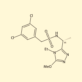 CCn1c(OC)nnc1[C@@H](C)NS(=O)(=O)Cc1cc(Cl)cc(Cl)c1